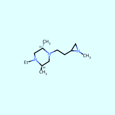 CCN1C[C@H](C)N(CCC2CN2C)C[C@H]1C